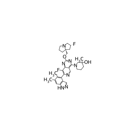 Cc1cc2[nH]ncc2c(-c2ncc3c(N4CCCC(C)(O)C4)nc(OC[C@@]45CCCN4C[C@H](F)C5)nc3c2F)c1C